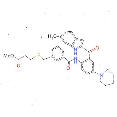 COC(=O)CCSCc1cccc(C(=O)Nc2ccc(N3CCCCC3)cc2C(=O)c2cc3ccc(C)cc3[nH]2)c1